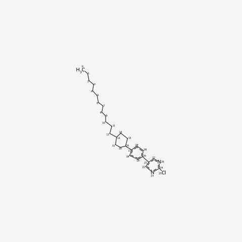 CCCCCCCCCCCCCC1CCC(c2ccc(-c3cnc(Cl)nc3)cc2)CC1